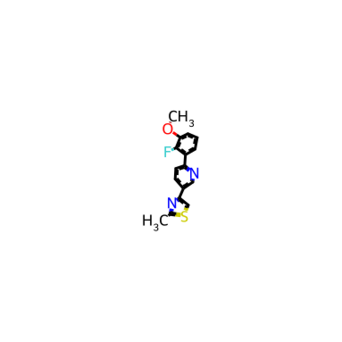 COc1cccc(-c2ccc(-c3csc(C)n3)cn2)c1F